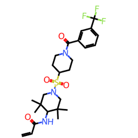 C=CC(=O)NC1C(C)(C)CN(S(=O)(=O)C2CCN(C(=O)c3cccc(C(F)(F)F)c3)CC2)CC1(C)C